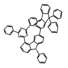 c1ccc(-c2nc(-c3ccccc3)nc(-c3cccc4c3c3cc(-c5ccc6c(c5)C(c5ccccc5)(c5ccccc5)c5ccccc5-6)ccc3n4-c3ccccc3)n2)cc1